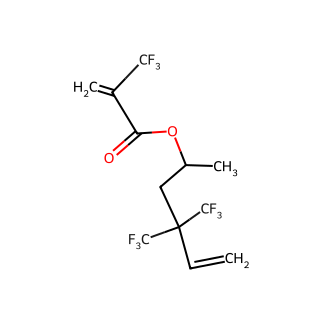 C=CC(CC(C)OC(=O)C(=C)C(F)(F)F)(C(F)(F)F)C(F)(F)F